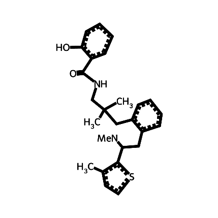 CNC(Cc1ccccc1CC(C)(C)CNC(=O)c1ccccc1O)c1sccc1C